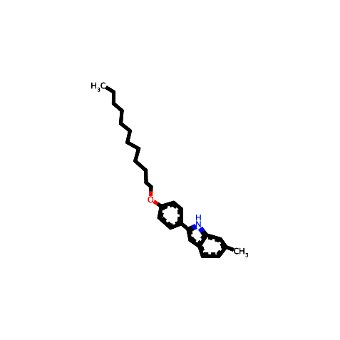 CCCCCCCCCCCCOc1ccc(-c2cc3ccc(C)cc3[nH]2)cc1